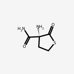 NC(=O)[C@]1(N)CCSC1=O